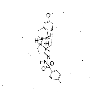 COc1ccc2c(c1)CC[C@@H]1[C@H]2CC[C@]2(C)C(=NNS(=O)(=O)c3ccc(C)cc3)CC[C@@H]12